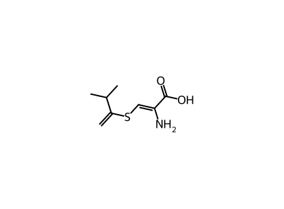 C=C(S/C=C(\N)C(=O)O)C(C)C